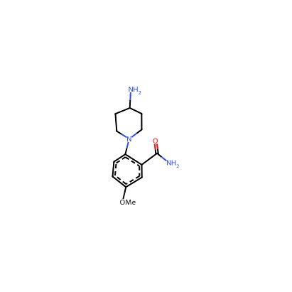 COc1ccc(N2CCC(N)CC2)c(C(N)=O)c1